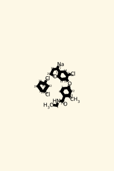 CCNC(=O)c1ccc(Oc2cc3c(cc2Cl)[CH]([Na])CCO3)cc1C.Clc1cccc(Cl)c1